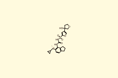 C[C@H](c1ccc2c(c1NC(=O)NS(=O)(=O)c1cc(C3(O)CCOC3)co1)CCC2)C1CC1